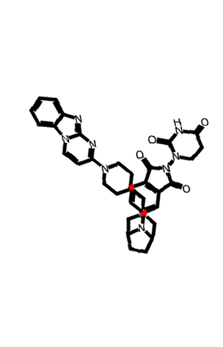 O=C1CCN(N2C(=O)c3ccc(N4C5CCC4CN(CC4CCN(c6ccn7c(n6)nc6ccccc67)CC4)C5)cc3C2=O)C(=O)N1